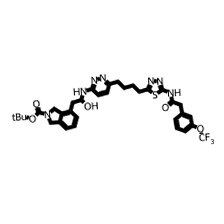 CC(C)(C)OC(=O)N1Cc2cccc(CC(O)Nc3ccc(CCCCc4nnc(NC(=O)Cc5cccc(OC(F)(F)F)c5)s4)nn3)c2C1